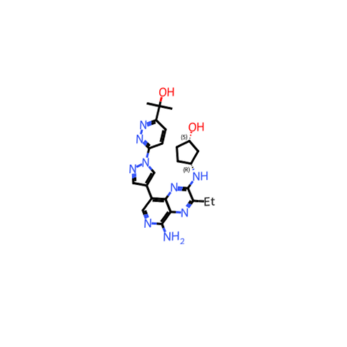 CCc1nc2c(N)ncc(-c3cnn(-c4ccc(C(C)(C)O)nn4)c3)c2nc1N[C@@H]1CC[C@H](O)C1